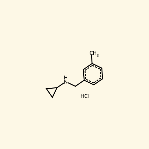 Cc1cccc(CNC2CC2)c1.Cl